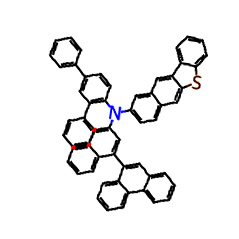 c1ccc(-c2ccc(N(c3ccc4cc5sc6ccccc6c5cc4c3)c3cc(-c4cc5ccccc5c5ccccc45)c4ccccc4c3)c(-c3ccccc3)c2)cc1